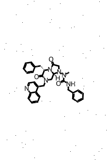 CN(C(=O)NCc1ccccc1)N1CC(=O)N2[C@@H](Cc3ccccc3)C(=O)N(Cc3ccnc4ccccc34)C[C@@H]21